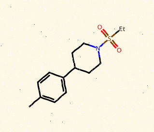 CCS(=O)(=O)N1CCC(c2ccc(C)cc2)CC1